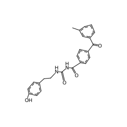 Cc1cccc(C(=O)c2ccc(C(=O)NC(=O)NCCc3ccc(O)cc3)cc2)c1